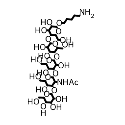 CC(=O)NC1C(O[C@@H]2OC(CO)[C@H](O)C(O)C2O)[C@@H](O)C(CO)O[C@H]1OC1C(O)[C@@H](O[C@H]2C(CO)O[C@@H](O[C@@H]3C(CO)O[C@@H](OCCCCCN)C(O)C3O)C(O)C2O)OC(CO)[C@@H]1O